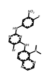 CP(C)c1c(Nc2nc(Nc3ccc(F)c([N+](=O)[O-])c3)ncc2Br)ccc2nccnc12